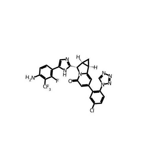 Nc1ccc(-c2cnc([C@@H]3[C@H]4C[C@H]4c4cc(-c5cc(Cl)ccc5-n5cnnn5)cc(=O)n43)[nH]2)c(F)c1C(F)(F)F